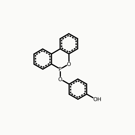 Oc1ccc(OP2Oc3ccccc3-c3ccccc32)cc1